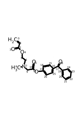 C=CC(=O)OCCN(C)CC(=O)Oc1ccc(C(=O)c2ccccc2)cc1